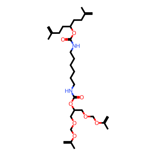 C=C(C)CCC(CCC(=C)C)OC(=O)NCCCCCCNC(=O)OC(COCOC(=C)C)COCOC(=C)C